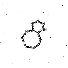 c1cccc2[nH]nnnc-2ncc1